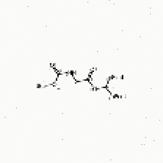 CCCCCC(CCCCC)OC(=O)CNC(=O)OC(C)(C)C